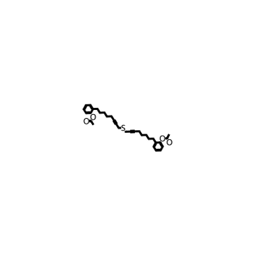 CC(=O)Oc1ccccc1CCCCCC#CCSCC#CCCCCCc1ccccc1OC(C)=O